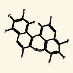 Cc1c(F)cc2c(F)c(F)c(F)c(F)c2c1-c1c(C(C)(C)C)c(F)cc2c(F)c(F)c(F)c(F)c12